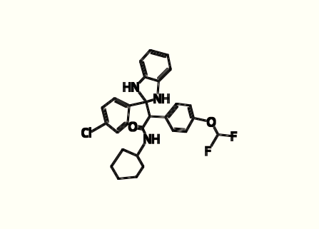 O=C(NC1CCCCC1)C(c1ccc(OC(F)F)cc1)C1(c2ccc(Cl)cc2)Nc2ccccc2N1